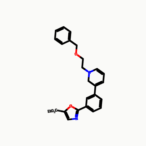 CCOC(=O)c1cnc(-c2cccc(C3=CC=CN(CCOCc4ccccc4)C3)c2)o1